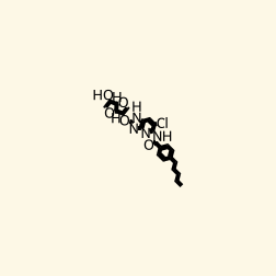 CCCCCc1ccc(C(=O)Nc2nc3nc(O[C@@H]4CO[C@H]5[C@@H]4OC[C@H]5O)[nH]c3cc2Cl)cc1